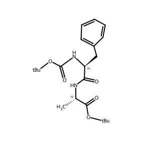 C[C@H](NC(=O)[C@H](Cc1ccccc1)NC(=O)OC(C)(C)C)C(=O)OC(C)(C)C